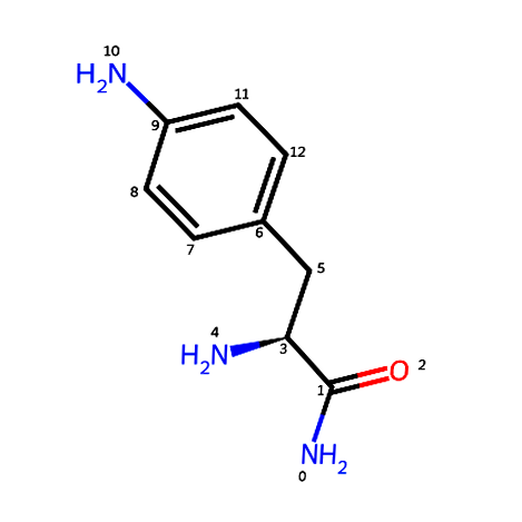 NC(=O)[C@@H](N)Cc1ccc(N)cc1